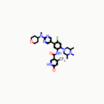 CC1CN(c2cc(F)c(-c3cnc(N(C)C4CCOCC4)nc3)cc2NC(=O)c2c[nH]c(=O)cc2C(F)(F)F)CC(C)N1C